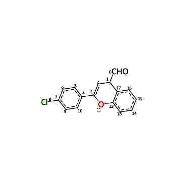 O=CC1C=C(c2ccc(Cl)cc2)Oc2ccccc21